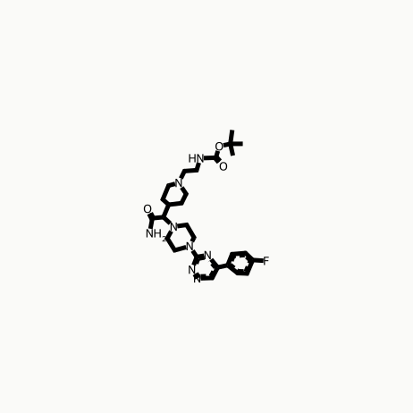 CC(C)(C)OC(=O)NCCN1CCC(C(C(N)=O)N2CCN(c3nncc(-c4ccc(F)cc4)n3)CC2)CC1